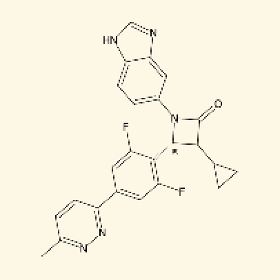 Cc1ccc(-c2cc(F)c([C@H]3C(C4CC4)C(=O)N3c3ccc4[nH]cnc4c3)c(F)c2)nn1